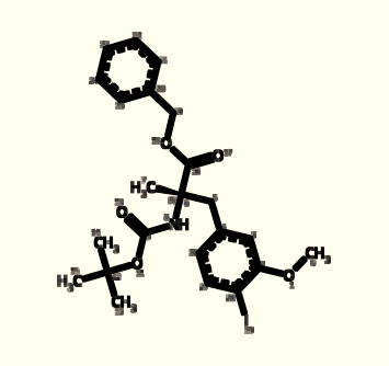 COc1cc(C[C@](C)(NC(=O)OC(C)(C)C)C(=O)OCc2ccccc2)ccc1I